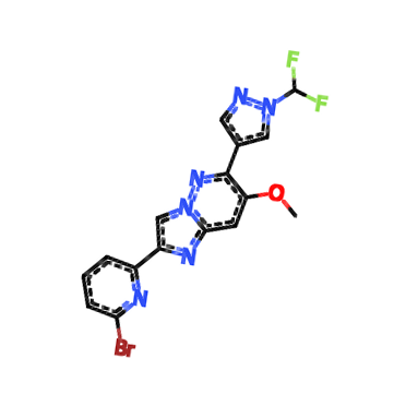 COc1cc2nc(-c3cccc(Br)n3)cn2nc1-c1cnn(C(F)F)c1